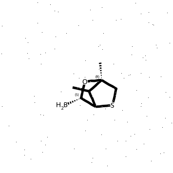 B[C@@H]1O[C@@]2(C)CSC1C2C